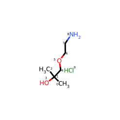 CC(C)(O)COCCN.Cl